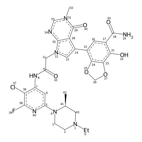 CCN1CCN(c2cc(NC(=O)Cn3cc(-c4cc(C(N)=O)c(O)c5c4OCO5)c4c(=O)n(C)cnc43)c(Cl)c(F)n2)[C@@H](C)C1